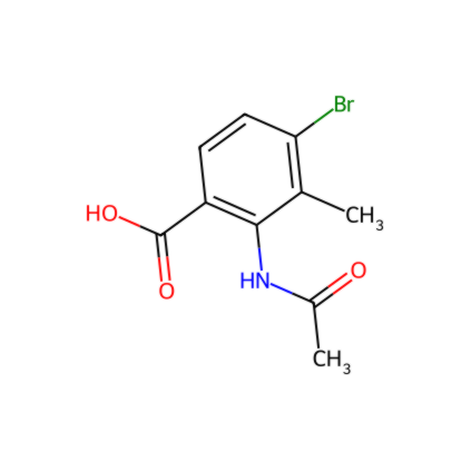 CC(=O)Nc1c(C(=O)O)ccc(Br)c1C